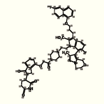 Cc1nn2c(c1-c1c(F)ccc3c(CCCOc4cccc5cc(F)ccc45)c(C(=O)O)n(CCN4CCN(C(=O)COc5cccc6c5CN(C5CCC(=O)NC5=O)C6=O)CC4)c13)COCC2